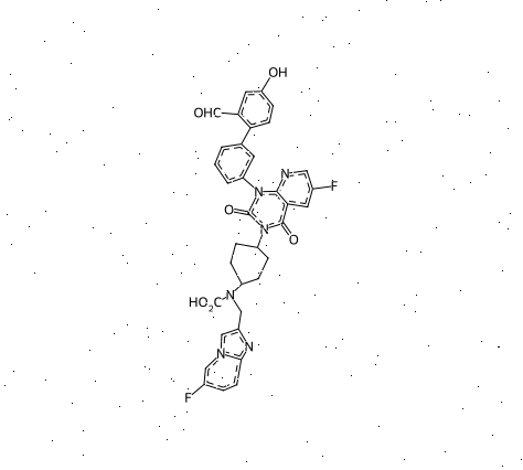 O=Cc1cc(O)ccc1-c1cccc(-n2c(=O)n(C3CCC(N(Cc4cn5cc(F)ccc5n4)C(=O)O)CC3)c(=O)c3cc(F)cnc32)c1